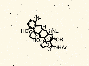 CC(=O)NC(=O)C1=C(O)[C@@H](N(C)C)[C@@H]2C[C@@H]3Cc4c(N(C)C)ccc(O)c4C4(OCCO4)C3=C(O)[C@]2(O)C12OCCO2